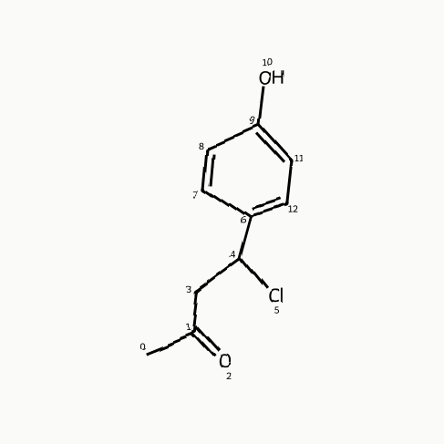 CC(=O)CC(Cl)c1ccc(O)cc1